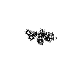 [2H]C1=C(OCCO[Si](c2ccccc2)(c2ccccc2)C(C)(C)C)N(C(COc2ccncn2)C(=O)O)N(c2cccc(F)c2C)C1C